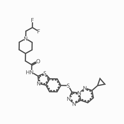 O=C(CC1CCN(CC(F)F)CC1)Nc1nc2ccc(Sc3nnc4ccc(C5CC5)nn34)cc2s1